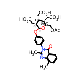 CC(=O)OC[C@H]1O[C@@H](Oc2ccc(-n3c(C)nc4c(C)cccc4c3=O)cc2)[C@@H](CC(=O)O)[C@H](CC(=O)O)[C@@H]1CC(=O)O